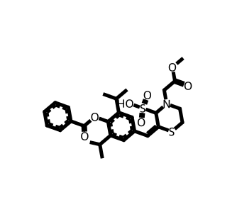 COC(=O)CN1CCSC(=Cc2cc(C(C)C)c(OC(=O)c3ccccc3)c(C(C)C)c2)C1S(=O)(=O)O